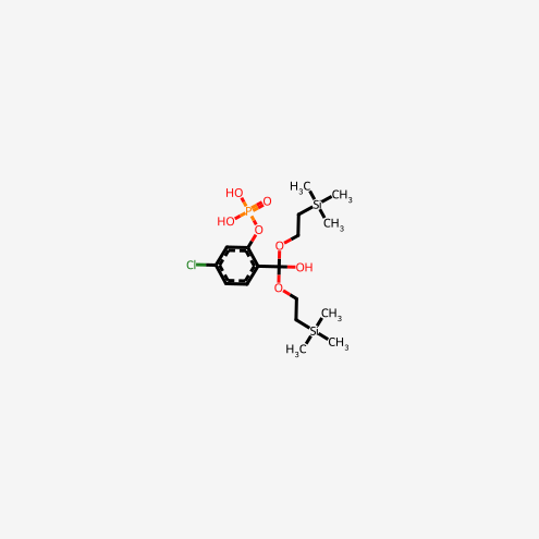 C[Si](C)(C)CCOC(O)(OCC[Si](C)(C)C)c1ccc(Cl)cc1OP(=O)(O)O